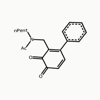 CCCCCN(CC1=C(c2ccccc2)C=CC(=O)C1=O)C(C)=O